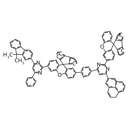 CC1(C)c2ccccc2-c2ccc(-c3cc(-c4ccccc4)nc(-c4ccc5c(c4)Oc4ccc(-c6ccc(-c7cc(-c8cc9c%10c(cccc%10c8)CC=C9)nc(-c8ccc9c(c8)Oc8ccccc8C98c9ccccc9-c9ccccc98)n7)cc6)cc4C54c5ccccc5-c5ccccc54)n3)cc21